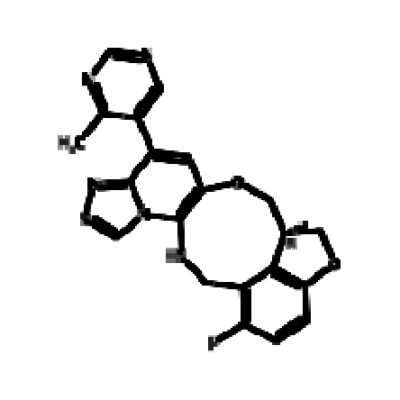 Cc1ncncc1-c1cc2c(n3cnnc13)NCc1c(F)ccc3c1[C@H](CO3)CO2